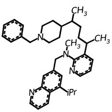 CC(C)c1cc(CN(C)c2ncccc2C(C)CCC(C)C2CCN(Cc3ccccc3)CC2)cc2ncccc12